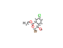 COC(=O)c1cc(Cl)ccc1C(=O)CBr